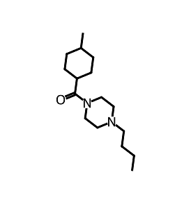 CCCCN1CCN(C(=O)C2CCC(C)CC2)CC1